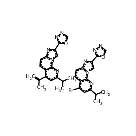 C=C(C)c1cc(C(C)C)nc2c1ccc1nc(-c3nnco3)cn12.CC(C)c1cc(Br)c2ccc3nc(-c4nnco4)cn3c2n1